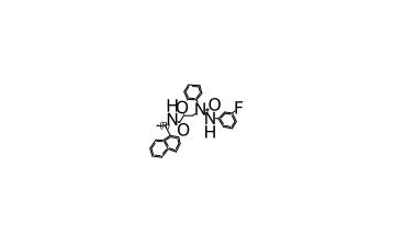 C[C@@H](NC(=O)C1CN(C(=O)Nc2cccc(F)c2)c2ccccc2O1)c1cccc2ccccc12